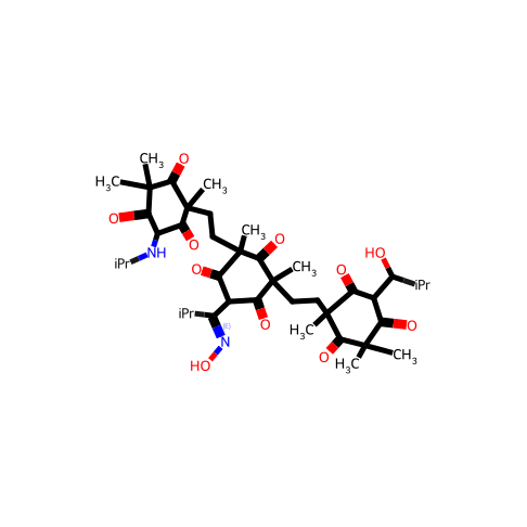 CC(C)NC1C(=O)C(C)(C)C(=O)C(C)(CCC2(C)C(=O)C(/C(=N/O)C(C)C)C(=O)C(C)(CCC3(C)C(=O)C(C(O)C(C)C)C(=O)C(C)(C)C3=O)C2=O)C1=O